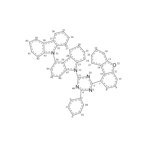 c1ccc(-c2nc(-c3cccc4oc5ccccc5c34)nc(-n3c4ccccc4c4c(-n5c6ccccc6c6ccccc65)cccc43)n2)cc1